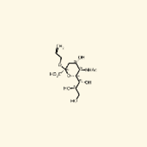 C=CCO[C@@]1(C(=O)O)C[C@H](O)[C@@H](NC(C)=O)[C@H]([C@H](O)[C@H](O)CO)O1